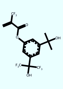 C=C(C(=O)Oc1cc(C(C)(C)O)cc(C(O)(C(F)(F)F)C(F)(F)F)c1)C(F)(F)F